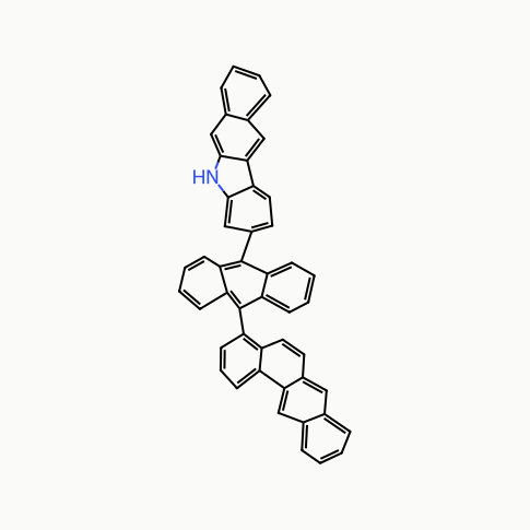 c1ccc2cc3c(ccc4c(-c5c6ccccc6c(-c6ccc7c(c6)[nH]c6cc8ccccc8cc67)c6ccccc56)cccc43)cc2c1